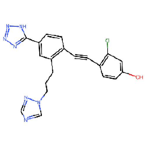 Oc1ccc(C#Cc2ccc(-c3nnn[nH]3)cc2CCCn2cncn2)c(Cl)c1